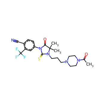 CC(=O)N1CCN(CCCN2C(=S)N(c3ccc(C#N)c(C(F)(F)F)c3)C(=O)C2(C)C)CC1